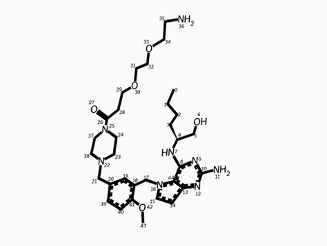 CCCC[C@@H](CO)Nc1nc(N)nc2ccn(Cc3cc(CN4CCN(C(=O)CCOCCOCCN)CC4)ccc3OC)c12